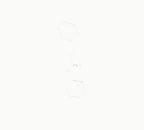 O=C(C=Cc1ccccc1)NC1CN2CCC1CC2